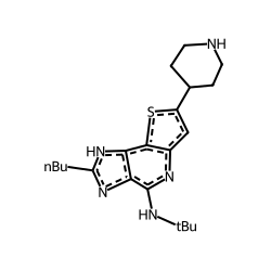 CCCCc1nc2c(NC(C)(C)C)nc3cc(C4CCNCC4)sc3c2[nH]1